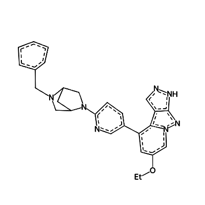 CCOc1cc(-c2ccc(N3CC4CC3CN4Cc3ccccc3)nc2)c2c3cn[nH]c3nn2c1